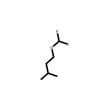 CC(C)CCOC(F)F